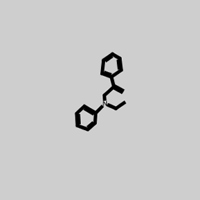 C=C(CN(CC)c1ccccc1)c1ccccc1